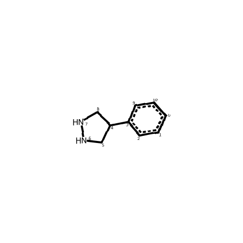 c1ccc(C2CNNC2)cc1